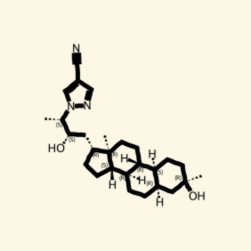 C[C@@H]([C@@H](O)C[C@H]1CC[C@H]2[C@@H]3CC[C@@H]4C[C@](C)(O)CC[C@@H]4[C@H]3CC[C@]12C)n1cc(C#N)cn1